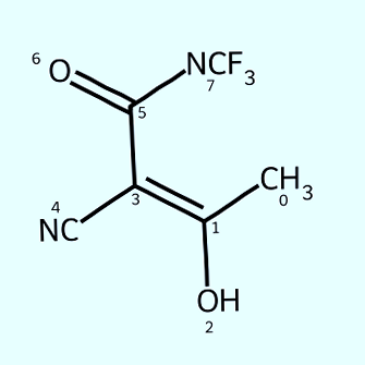 CC(O)=C(C#N)C(=O)NC(F)(F)F